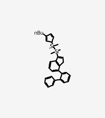 CCCCC1=CC([Si](C)(C)[Si](C)(C)C2=CCc3c2cccc3-c2ccccc2-c2ccccc2)C=C1